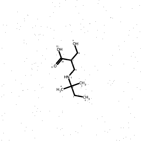 CCC(C)(C)NCC(CO)C(=O)O